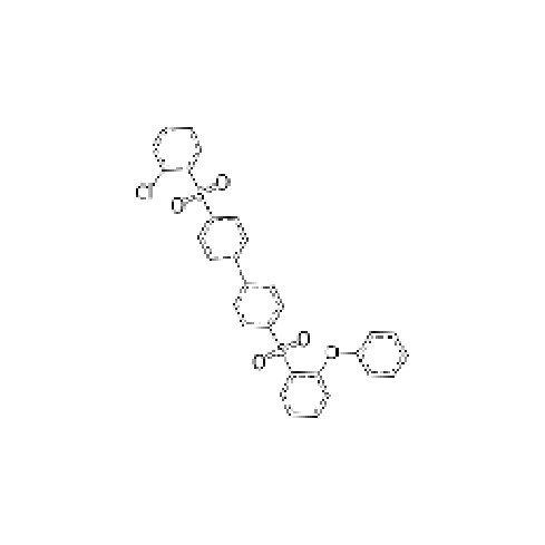 O=S(=O)(c1ccc(-c2ccc(S(=O)(=O)c3ccccc3Oc3ccccc3)cc2)cc1)c1ccccc1Cl